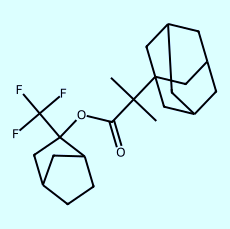 CC(C)(C(=O)OC1(C(F)(F)F)CC2CCC1C2)C12CC3CC(CC(C3)C1)C2